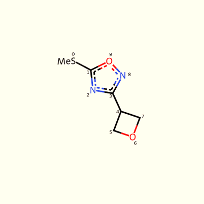 CSc1nc(C2COC2)no1